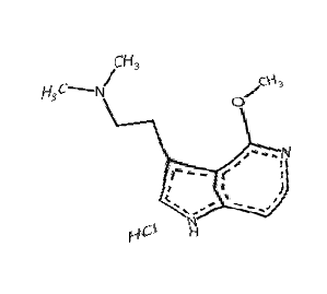 COc1nccc2[nH]cc(CCN(C)C)c12.Cl